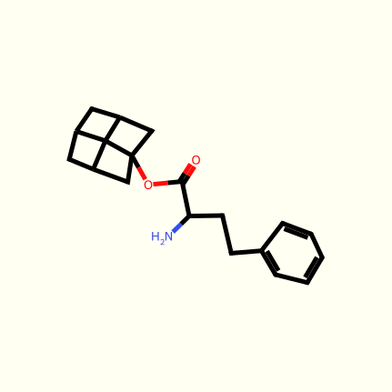 NC(CCc1ccccc1)C(=O)OC12CC3CC4CC(C1)C432